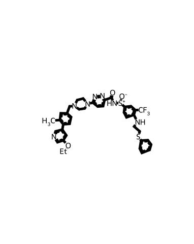 CCOc1cncc(-c2ccc(CN3CCN(c4ccc(C(=O)N[S+]([O-])c5ccc(NCCSc6ccccc6)c(C(F)(F)F)c5)nn4)CC3)cc2C)c1